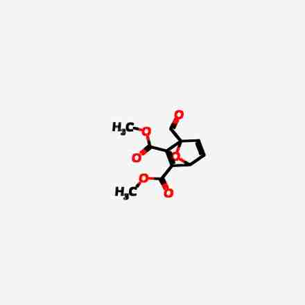 COC(=O)C1=C(C(=O)OC)C2(C=O)C=CC1O2